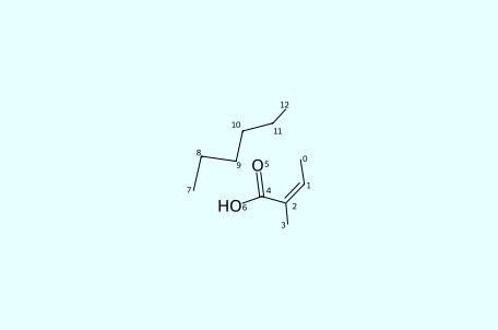 CC=C(C)C(=O)O.CCCCCC